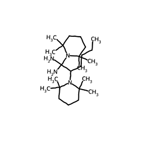 CCCCC(N1C(C)(C)CCCC1(C)C)C(N)(N)N1C(C)(C)CCCC1(C)C